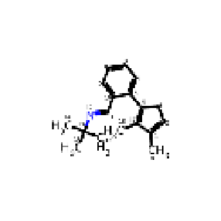 CC1=CCC(c2ccccc2/C=N/C(C)(C)C)=C1C